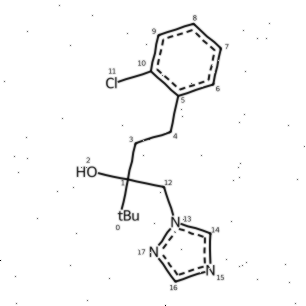 CC(C)(C)C(O)(CCc1ccccc1Cl)Cn1cncn1